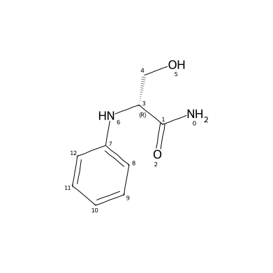 NC(=O)[C@@H](CO)Nc1ccccc1